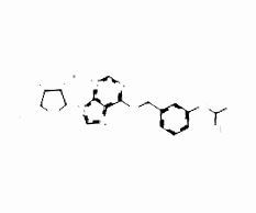 CC(C)Oc1cccc(CSc2ncnc3c2ncn3[C@@H]2O[C@H](C)[C@@H](O)[C@H]2O)c1